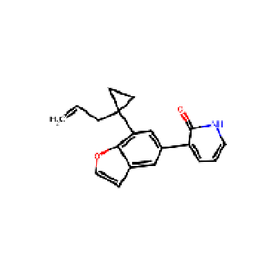 C=CCC1(c2cc(-c3ccc[nH]c3=O)cc3ccoc23)CC1